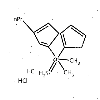 CCCC1=CC[C]([Zr]([CH3])([CH3])(=[SiH2])[C]2=CC=CC2)=C1.Cl.Cl